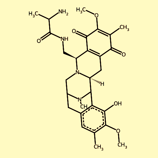 COC1=C(C)C(=O)C2=C(C1=O)[C@H](CNC(=O)C(C)N)N1CC3Cc4cc(C)c(OC)c(O)c4C([C@@H]1C2)N3C